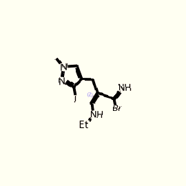 CCN/C=C(/Cc1cn(C)nc1I)C(=N)Br